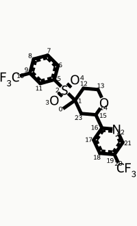 CC1(S(=O)(=O)c2cccc(C(F)(F)F)c2)CCOC(c2ccc(C(F)(F)F)cn2)C1